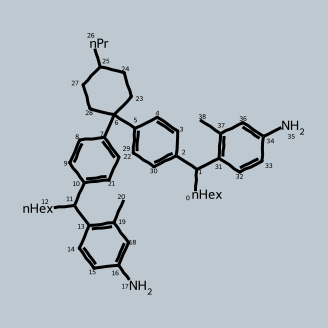 CCCCCCC(c1ccc(C2(c3ccc(C(CCCCCC)c4ccc(N)cc4C)cc3)CCC(CCC)CC2)cc1)c1ccc(N)cc1C